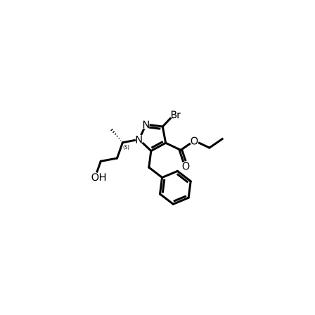 CCOC(=O)c1c(Br)nn([C@@H](C)CCO)c1Cc1ccccc1